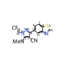 CNc1c(C#N)c(-c2ccc3scnc3c2)nn1CC(F)(F)F